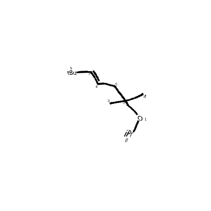 CC(C)OC(C)(C)C/C=C/C(C)(C)C